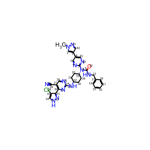 Cn1cc(-c2cnc(N(C(=O)NCc3ccccc3)[C@H]3CC[C@H](Nc4ncc(C#N)c(-c5n[nH]cc5Cl)n4)CC3)nc2)cn1